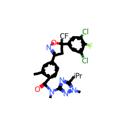 Cc1cc(C2=NOC(c3cc(Cl)c(F)c(Cl)c3)(C(F)(F)F)C2)ccc1C(=O)N(C)c1nc(C(C)C)n(C)n1